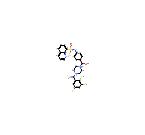 CC(c1cc(F)cc(F)c1F)N1CCN(C(=O)c2ccc(NS(=O)(=O)c3cccc4cccnc34)cc2)CC1